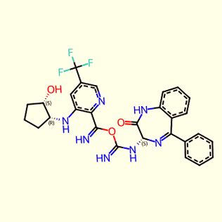 N=C(N[C@H]1N=C(c2ccccc2)c2ccccc2NC1=O)OC(=N)c1ncc(C(F)(F)F)cc1N[C@@H]1CCC[C@@H]1O